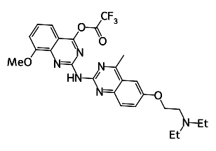 CCN(CC)CCOc1ccc2nc(Nc3nc(OC(=O)C(F)(F)F)c4cccc(OC)c4n3)nc(C)c2c1